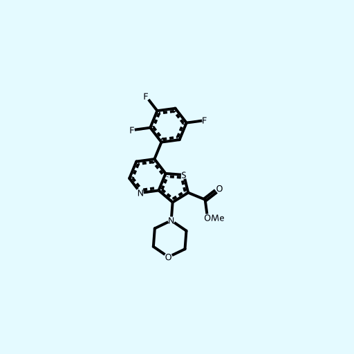 COC(=O)c1sc2c(-c3cc(F)cc(F)c3F)ccnc2c1N1CCOCC1